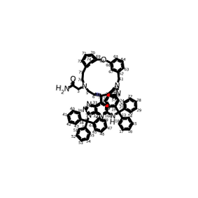 NC(=O)CN1C/C=C(/c2cc(NC(c3ccccc3)(c3ccccc3)c3ccccc3)nc3c2nnn3C(c2ccccc2)(c2ccccc2)c2ccccc2)c2cnn(c2)Cc2cccc(c2)Oc2cccc(c2)CC1